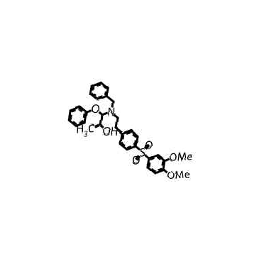 COc1ccc(S(=O)(=O)c2ccc(CCN(Cc3ccccc3)C(Oc3ccccc3)C(C)O)cc2)cc1OC